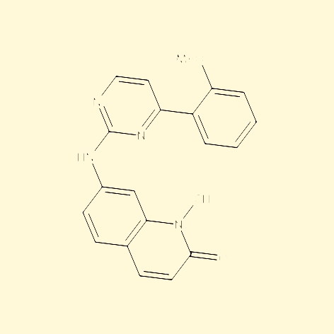 COc1ccccc1-c1ccnc(Nc2ccc3ccc(=O)n(C)c3c2)n1